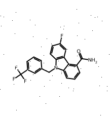 NC(=O)c1cccc2c1c1[c]c(F)ccc1n2Cc1cccc(C(F)(F)F)c1